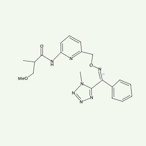 COCC(C)C(=O)Nc1cccc(CO/N=C(/c2ccccc2)c2nnnn2C)n1